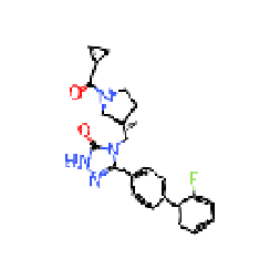 O=C(C1CC1)N1CC[C@@H](Cn2c(-c3ccc(-c4ccccc4F)cc3)n[nH]c2=O)C1